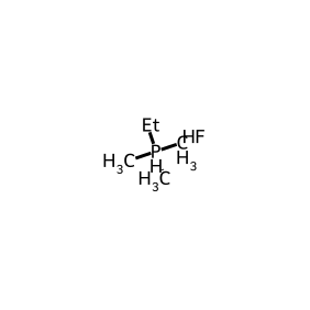 CC[PH](C)(C)C.F